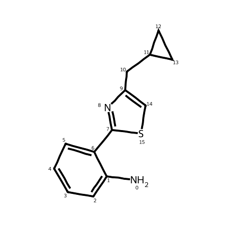 Nc1ccccc1-c1nc(CC2CC2)cs1